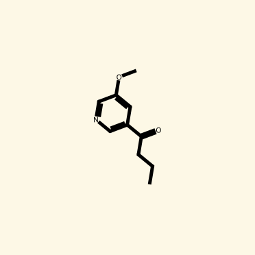 CCCC(=O)c1cncc(OC)c1